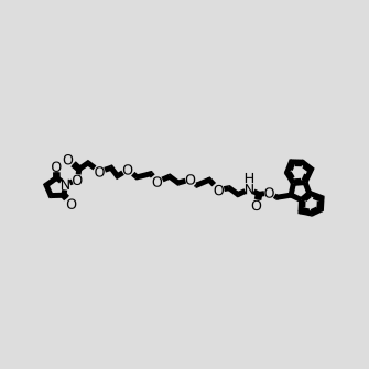 O=C(COCCOCCOCCOCCOCCNC(=O)OCC1c2ccccc2-c2ccccc21)ON1C(=O)CCC1=O